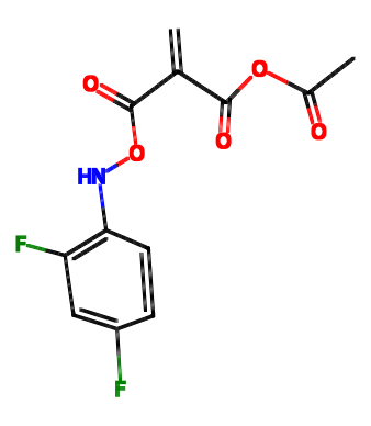 C=C(C(=O)ONc1ccc(F)cc1F)C(=O)OC(C)=O